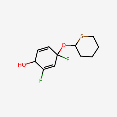 OC1C=CC(F)(OC2CCCCS2)C=C1F